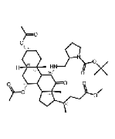 COC(=O)CC[C@@H](C)C1CCC2C3C([C@H](NCC4CCCN4C(=O)OC(C)(C)C)C(=O)[C@@]21C)[C@@]1(C)CC[C@@H](OC(C)=O)C[C@H]1C[C@H]3OC(C)=O